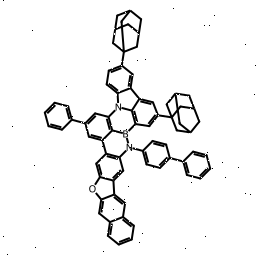 c1ccc(-c2ccc(N3B4c5c(cc(-c6ccccc6)cc5-n5c6ccc(C78CC9CC(CC(C9)C7)C8)cc6c6cc(C78CC9CC(CC(C9)C7)C8)cc4c65)-c4cc5oc6cc7ccccc7cc6c5cc43)cc2)cc1